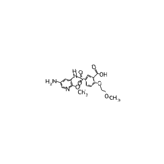 COCCOc1ccc(S(=O)(=O)Nc2cc(N)cnc2OC)cc1C(=O)O